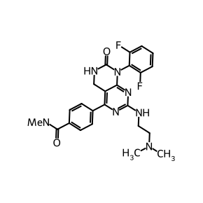 CNC(=O)c1ccc(-c2nc(NCCN(C)C)nc3c2CNC(=O)N3c2c(F)cccc2F)cc1